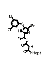 CCCCCCCC(=O)NC(=O)OC(CC)c1nc(C(C)C)c(Sc2cc(Cl)cc(Cl)c2)[nH]1